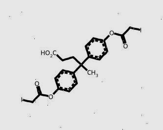 CC(CCC(=O)O)(c1ccc(OC(=O)CI)cc1)c1ccc(OC(=O)CI)cc1